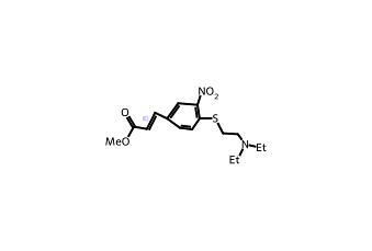 CCN(CC)CCSc1ccc(/C=C/C(=O)OC)cc1[N+](=O)[O-]